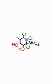 CC(=O)N[C@@]1(Cl)[C@@H](O)[C@H](O)[C@@H](C)C(Cl)N1Cl